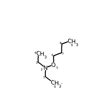 [CH2]CN(CC)OCCCC